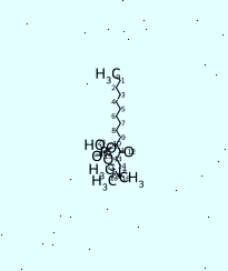 CCCCCCCCCCCC(=O)C(C[N+](C)(C)C)OP(=O)([O-])O